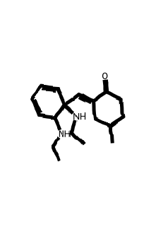 CCNC1C=CC=CC1(C=C1CC(C)CCC1=O)NCC